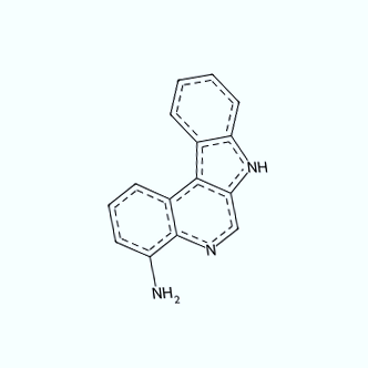 Nc1cccc2c1ncc1[nH]c3ccccc3c12